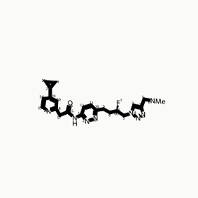 CNCc1cn(C[C@H](F)CCc2ccc(NC(=O)Cc3cc(C4CC4)ccn3)nn2)nn1